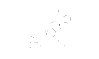 CCOc1ncccc1-c1ccc(N2CCN(C(=O)C3(CC)CCC3)C[C@H]2CC)c(C(=O)NCCNC)n1